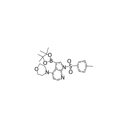 Cc1ccc(S(=O)(=O)n2cc(B3OC(C)(C)C(C)(C)O3)c3c(N4CCOCC4)ccnc32)cc1